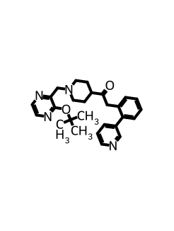 CC(C)(C)Oc1nccnc1CN1CCC(C(=O)Cc2ccccc2-c2cccnc2)CC1